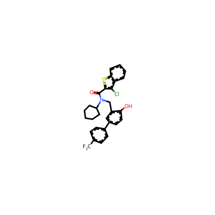 O=C(c1sc2ccccc2c1Cl)N(Cc1cc(-c2ccc(C(F)(F)F)cc2)ccc1O)C1CCCCC1